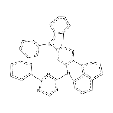 c1ccc(-c2ncnc(N3c4cc5c(cc4-c4cccc6cccc3c46)c3ccccc3n5-c3ccccc3)n2)cc1